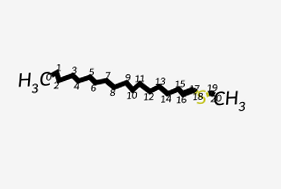 CCCCCCCCCCCCCCCCC=CSCC